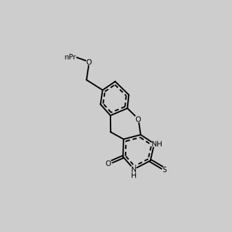 CCCOCc1ccc2c(c1)Cc1c([nH]c(=S)[nH]c1=O)O2